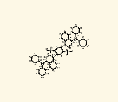 CC1(C)c2cc3c(cc2-c2c1cc(N(c1ccccc1)c1ccccc1)c1ccccc21)C(C)(C)c1cc(N(c2ccccc2)c2ccccc2)c2ccccc2c1-3